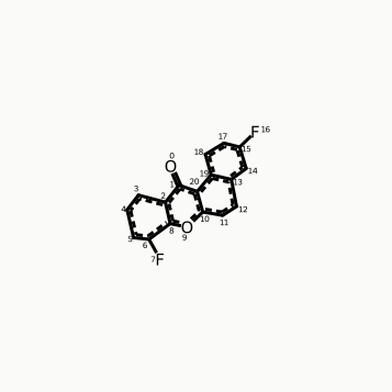 O=c1c2cccc(F)c2oc2ccc3cc(F)ccc3c12